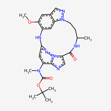 COc1cc2cnn3c2cc1Nc1cc(N(C)C(=O)OC(C)(C)C)c2ncc(n2n1)C(=O)NC(C)CC3